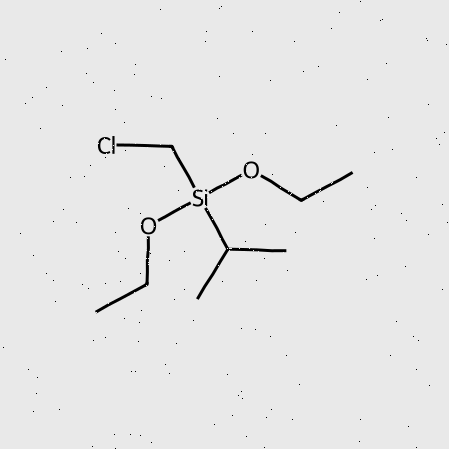 CCO[Si](CCl)(OCC)C(C)C